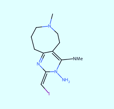 CNC1=C2CCN(C)CCCC2=N/C(=C/I)N1N